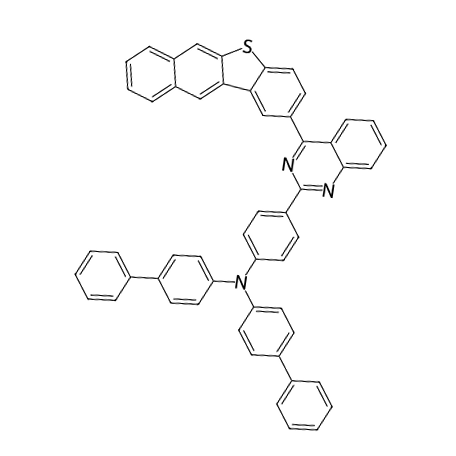 c1ccc(-c2ccc(N(c3ccc(-c4ccccc4)cc3)c3ccc(-c4nc(-c5ccc6sc7cc8ccccc8cc7c6c5)c5ccccc5n4)cc3)cc2)cc1